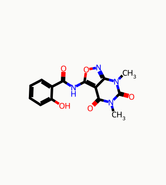 Cn1c(=O)c2c(NC(=O)c3ccccc3O)onc2n(C)c1=O